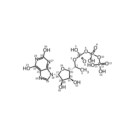 CC(OP(=O)(O)OP(=O)(O)OP(=O)(O)O)[C@H]1O[C@@H](n2cnc3c(O)nc(O)nc32)[C@H](O)[C@@H]1O